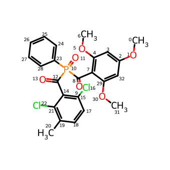 COc1cc(OC)c(C(=O)P(=O)(C(=O)c2c(Cl)ccc(C)c2Cl)c2ccccc2)c(OC)c1